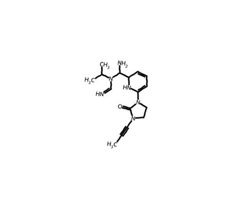 CC#CN1CCN(C2=CC=CC(C(N)N(C=N)C(C)C)N2)C1=O